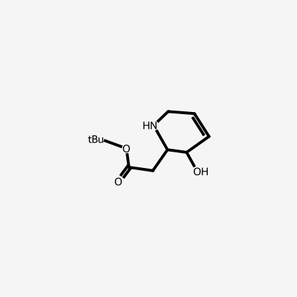 CC(C)(C)OC(=O)CC1NCC=CC1O